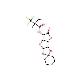 CCC(C)(C(=O)OC1C(=O)OC2C3OC4(CCCCC4)OC3OC12)C(F)(F)F